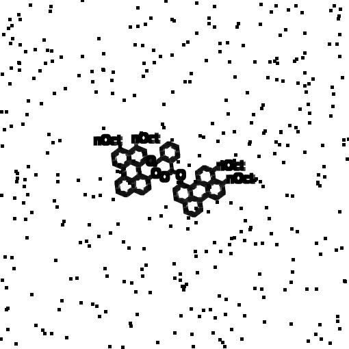 CCCCCCCCc1ccc2c3cccc4ccc(OC(=O)c5ccccc5C(=O)Oc5ccc6cccc7c8ccc(CCCCCCCC)c9c(CCCCCCCC)ccc(c5c67)c98)c(c5ccc(CCCCCCCC)c1c25)c43